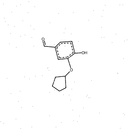 O=Cc1ccc(O)c(OC2CCCC2)c1